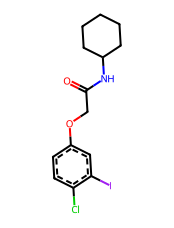 O=C(COc1ccc(Cl)c(I)c1)NC1CCCCC1